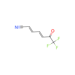 N#CC=CC=CC(=O)C(F)(F)F